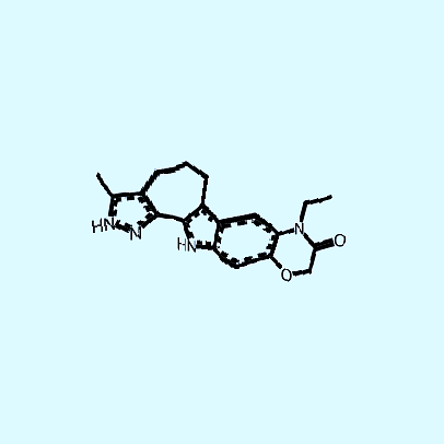 CCN1C(=O)COc2cc3[nH]c4c(c3cc21)CCCc1c-4n[nH]c1C